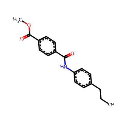 CCCc1ccc(NC(=O)c2ccc(C(=O)OC)cc2)cc1